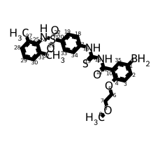 Bc1ccc(OCCOC)c(C(=O)NC(=S)Nc2ccc(S(=O)(=O)Nc3c(C)cccc3C)cc2)c1